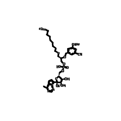 CCCCCCCCCCCCCCCCCCOC[C@H](COP(=O)(O)OC[C@H]1O[C@@](C#N)(c2ccc3c(C)ncnn23)[C@H](O)[C@@H]1O)OCc1cc(C#N)cc(OC)c1